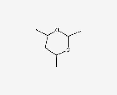 C[C]1OC(C)CC(C)O1